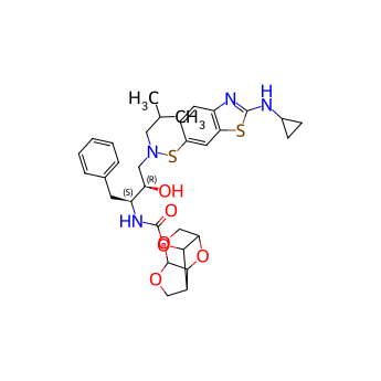 CC(C)CN(C[C@@H](O)[C@H](Cc1ccccc1)NC(=O)OC1C2COC3OCC1C3O2)Sc1ccc2nc(NC3CC3)sc2c1